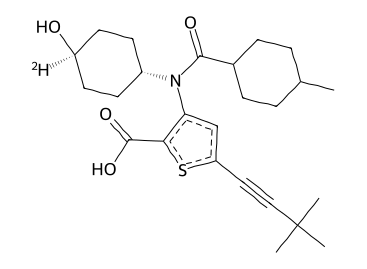 [2H][C@]1(O)CC[C@H](N(C(=O)C2CCC(C)CC2)c2cc(C#CC(C)(C)C)sc2C(=O)O)CC1